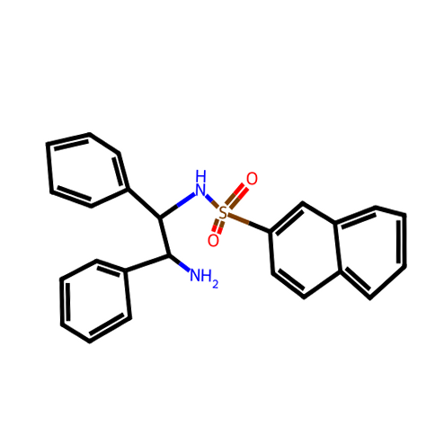 NC(c1ccccc1)C(NS(=O)(=O)c1ccc2ccccc2c1)c1ccccc1